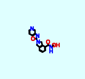 O=C(NO)c1cccc2c1CN(c1nc3cnccc3o1)C2